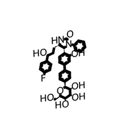 O=C1N[C@@H](CCC(O)c2ccc(F)cc2)[C@@H](c2ccc(-c3ccc([C@@H]4O[C@H](CO)[C@@H](O)[C@H](O)[C@H]4O)cc3)cc2O)N1c1ccccc1